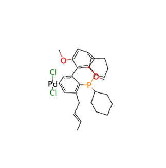 CC=CCc1cccc(-c2c(OC)cccc2OC)c1P(C1CCCCC1)C1CCCCC1.[Cl][Pd][Cl]